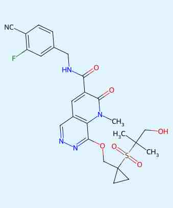 Cn1c(=O)c(C(=O)NCc2ccc(C#N)c(F)c2)cc2cnnc(OCC3(S(=O)(=O)C(C)(C)CO)CC3)c21